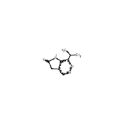 CC(C)c1nncc2c1NC(=O)C2